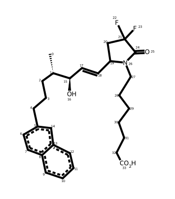 C[C@@H](CCCc1ccc2ccccc2c1)[C@H](O)C=CC1CC(F)(F)C(=O)N1CCCCCCC(=O)O